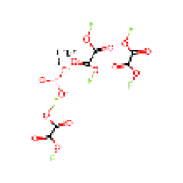 O=C(OF)C(=O)OF.O=C(OF)C(=O)OF.O=C(OF)C(=O)OF.[Li+].[Li+].[Li+].[O-]B([O-])[O-]